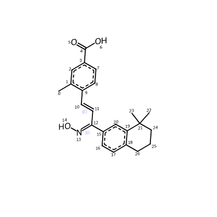 Cc1cc(C(=O)O)ccc1/C=C/C(=N\O)c1ccc2c(c1)C(C)(C)CCC2